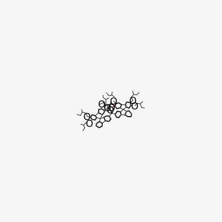 CCC(C)COc1cc2c(cc1OCC(C)CC)C1(c3ccccc3-c3ccc(C(=O)c4ccc5c(c4)C4(c6ccccc6-5)c5cc(OCC(C)CC)c(OCC(C)CC)cc5-c5cc(OCC(C)CC)c(OCC(C)CC)cc54)cc31)c1cc(OCC(C)CC)c(OCC(C)CC)cc1-2